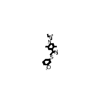 CCN(C)C=Nc1cc(C)c(C(CSc2cccc(OC)c2)=NC)cc1C